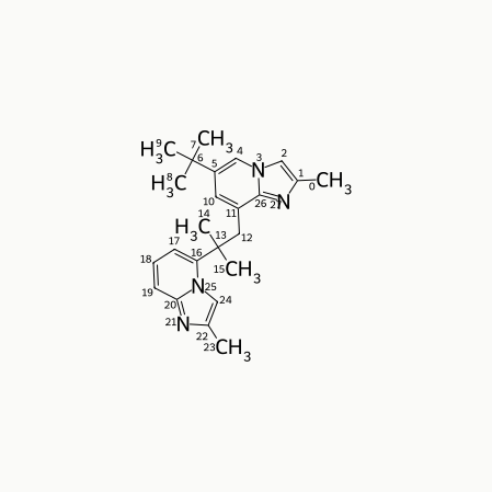 Cc1cn2cc(C(C)(C)C)cc(CC(C)(C)c3cccc4nc(C)cn34)c2n1